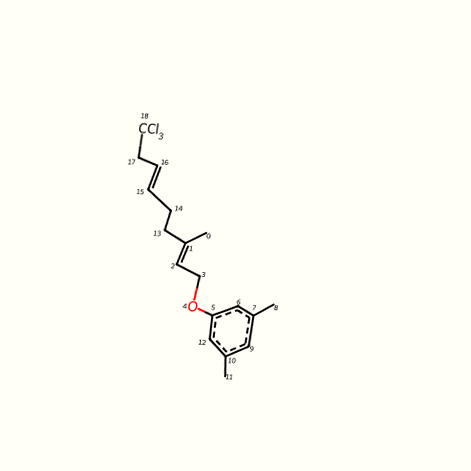 C/C(=C\COc1cc(C)cc(C)c1)CC/C=C/CC(Cl)(Cl)Cl